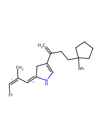 C=C(CCC1(CCC)CCCC1)C1=CN/C(=C/C(C)=C\CC)C1